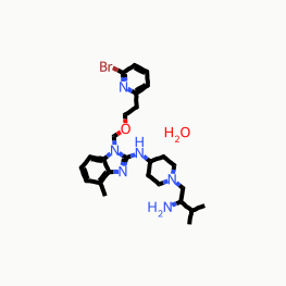 Cc1cccc2c1nc(NC1CCN(CC(N)C(C)C)CC1)n2COCCc1cccc(Br)n1.O